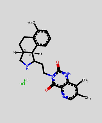 COc1cccc2c1CC[C@H]1CNC(CCn3c(=O)[nH]c4c(C)c(C)cnc4c3=O)[C@@H]21.Cl.Cl